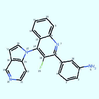 Nc1cccc(-c2nc3ccccc3c(-n3ccc4cnccc43)c2F)c1